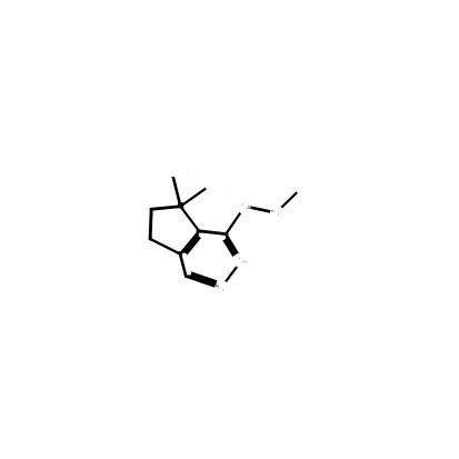 CC1(C)CCc2cnnc(NNCl)c21